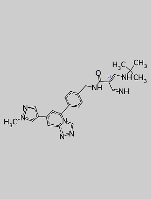 Cn1cc(-c2cc(-c3ccc(CNC(=O)/C(C=N)=C/NC(C)(C)C)cc3)n3cnnc3c2)cn1